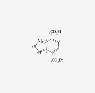 CCOC(=O)c1ccc(C(=O)OCC)c2nsnc12